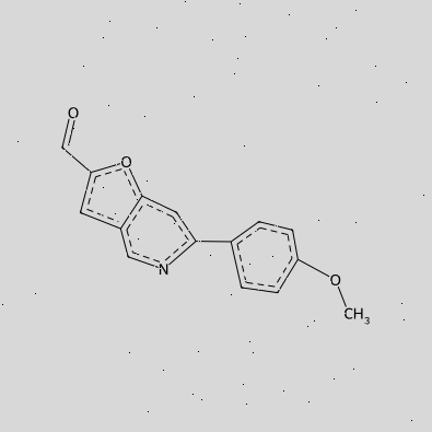 COc1ccc(-c2cc3oc(C=O)cc3cn2)cc1